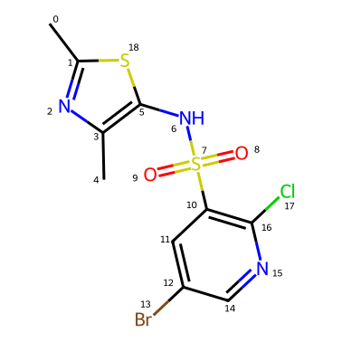 Cc1nc(C)c(NS(=O)(=O)c2cc(Br)cnc2Cl)s1